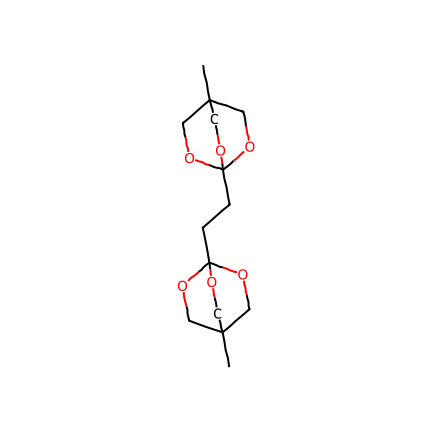 CC12COC(CCC34OCC(C)(CO3)CO4)(OC1)OC2